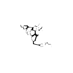 C=Cc1ccc2c3c([nH]c2c1)C(c1c(F)cc(/C=C2/CCN(CCCF)C2)cc1F)N(CC(C)(F)F)[C@H](C)C3